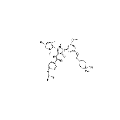 COc1cc(OCC2CCS(O)(O)CC2)nc(-n2c(=O)c(NC(=O)c3ccc(OC(F)F)cc3)c(-c3c(F)cc(OC)cc3F)n2C)c1